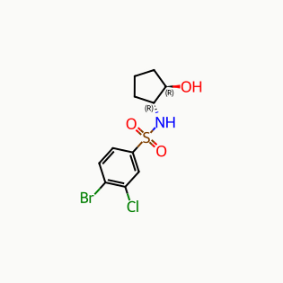 O=S(=O)(N[C@@H]1CCC[C@H]1O)c1ccc(Br)c(Cl)c1